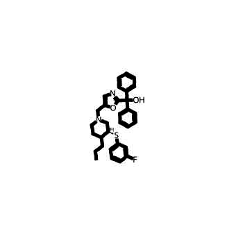 CCCC1CCN(Cc2cnc(C(O)(c3ccccc3)c3ccccc3)o2)C[C@@H]1Sc1cccc(F)c1